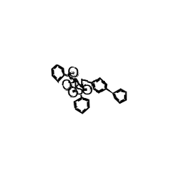 O=S(=O)(c1ccccc1)N(Cc1ccc(-c2ccccc2)cc1)S(=O)(=O)c1ccccc1